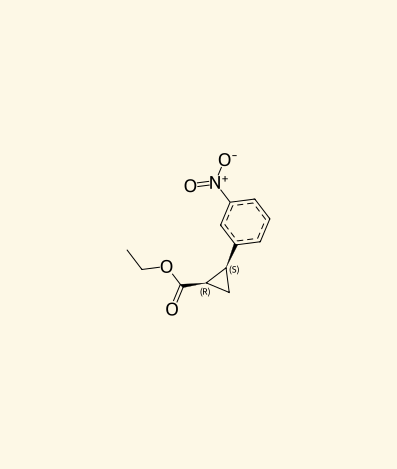 CCOC(=O)[C@@H]1C[C@@H]1c1cccc([N+](=O)[O-])c1